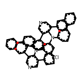 Clc1cc(N(c2cccc(-c3ccccc3)c2)c2c(-c3ccccc3)cncc2-c2ccccc2)cc(N(c2cccc(-c3ccccc3)c2)c2c(-c3ccccc3)cncc2-c2ccccc2)c1